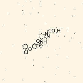 O=C(O)Cn1ncc2c1CCCC2NS(=O)(=O)c1ccc(Oc2ccccc2Cl)cc1